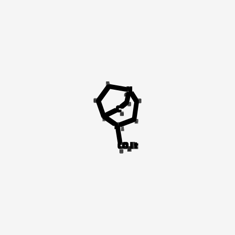 CCOC(=O)N1CCN2CCC1CC2